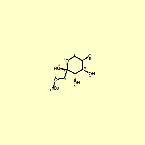 CCCCOC[C@]1(O)OC[C@@H](O)[C@@H](O)[C@@H]1O